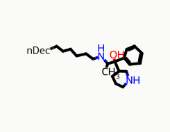 CCCCCCCCCCCCCCCCNC(C)C(O)(c1ccccc1)C1CCCNC1